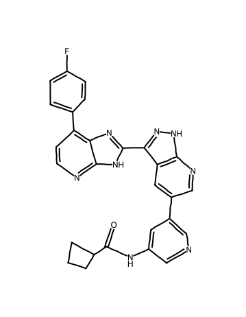 O=C(Nc1cncc(-c2cnc3[nH]nc(-c4nc5c(-c6ccc(F)cc6)ccnc5[nH]4)c3c2)c1)C1CCC1